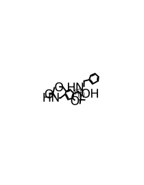 CC1(C)Oc2cc3c(cc2[C@H](NCCc2ccccc2)[C@H]1O)COCC(=O)NC3